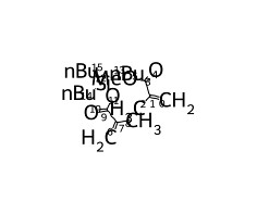 C=C(C)C(=O)OC.C=C(C)C(=O)O[Si](CCCC)(CCCC)CCCC